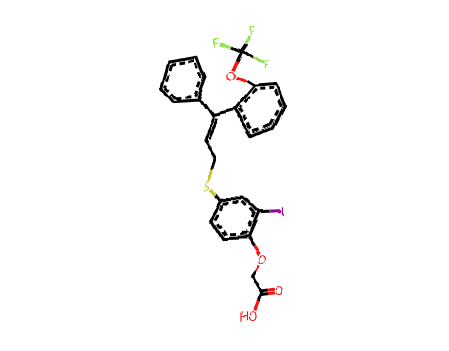 O=C(O)COc1ccc(SCC=C(c2ccccc2)c2ccccc2OC(F)(F)F)cc1I